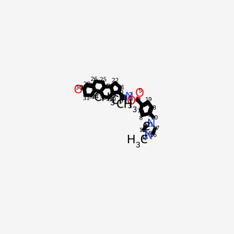 C/C(=N\OC(=O)c1ccc(CN2CCN(C)CC2)cc1)C1CCC2C3CCC4=CC(=O)CCC4(C)C3CCC12C